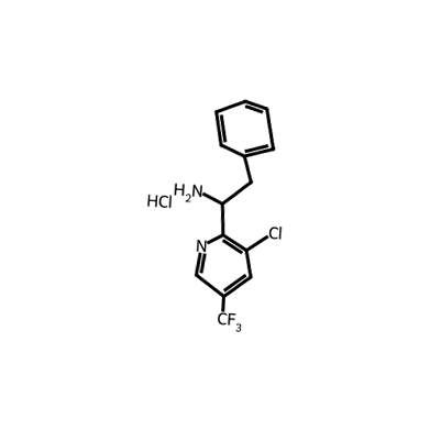 Cl.NC(Cc1ccccc1)c1ncc(C(F)(F)F)cc1Cl